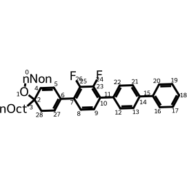 CCCCCCCCCOC1(CCCCCCCC)C=CC(c2ccc(-c3ccc(-c4ccccc4)cc3)c(F)c2F)=CC1